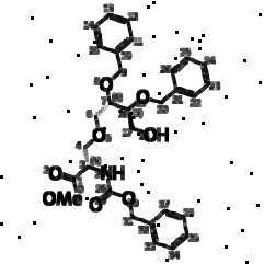 COC(=O)[C@H](COC[C@H](OCc1ccccc1)[C@H](CO)OCc1ccccc1)NC(=O)OCc1ccccc1